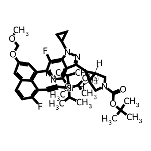 COCOc1cc(-c2nc(OC)c3c(C4[C@H]5CN(C(=O)OC(C)(C)C)C[C@@H]45)nn(C4CC4)c3c2F)c2c(C#C[Si](C(C)C)(C(C)C)C(C)C)c(F)ccc2c1